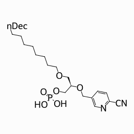 CCCCCCCCCCCCCCCCCCOC[C@H](COP(=O)(O)O)OCc1ccc(C#N)nc1